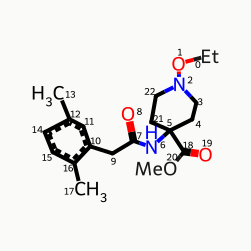 CCON1CCC(NC(=O)Cc2cc(C)ccc2C)(C(=O)OC)CC1